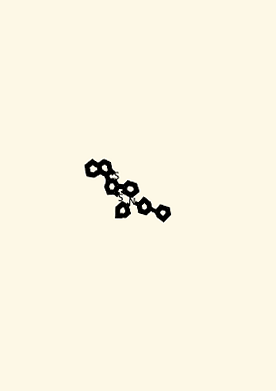 c1ccc(-c2ccc(N(c3ccccc3)c3cccc4c3sc3ccc5c(sc6ccc7ccccc7c65)c34)cc2)cc1